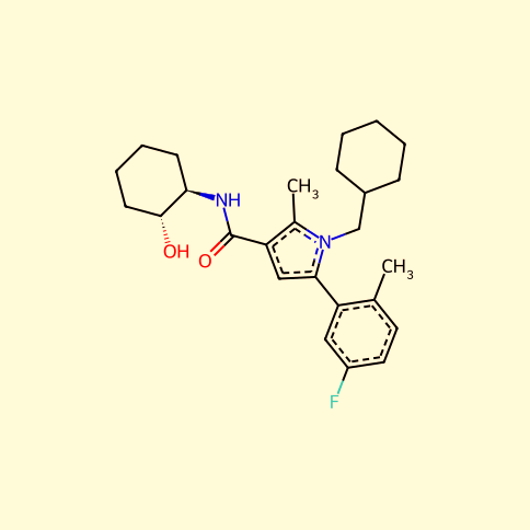 Cc1ccc(F)cc1-c1cc(C(=O)N[C@@H]2CCCC[C@H]2O)c(C)n1CC1CCCCC1